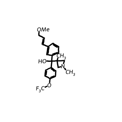 COC/C=C/c1cccc(C(O)(c2ccc(OC(F)(F)F)cc2)C2(C)CN(C)C2)c1